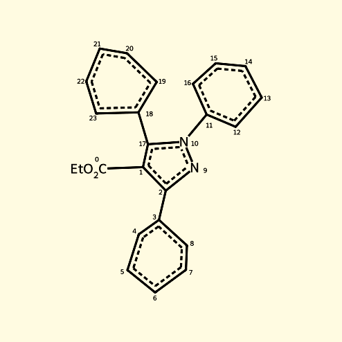 CCOC(=O)c1c(-c2ccccc2)nn(-c2ccccc2)c1-c1ccccc1